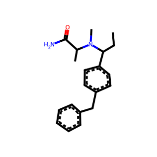 CCC(c1ccc(Cc2ccccc2)cc1)N(C)C(C)C(N)=O